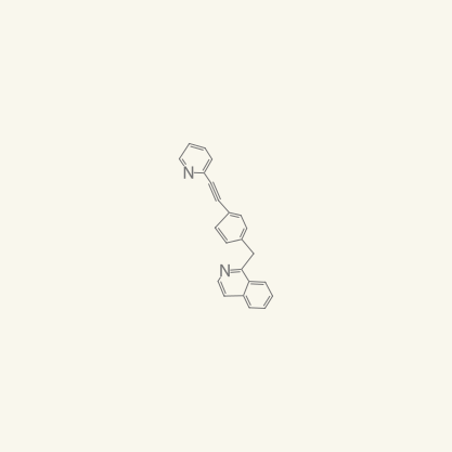 C(#Cc1ccccn1)c1ccc(Cc2nccc3ccccc23)cc1